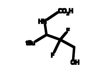 CC(C)(C)C(NC(=O)O)C(F)(F)CO